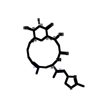 CC1=NC(/C=C(\C)[C@@H]2C/C(C)=C\CCC[C@@H]3C[C@@](C)(C(=O)[C@@H](C)[C@@H]3O)[C@@H](O)CC(=O)N2)CS1